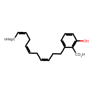 CCCCCCC/C=C\C/C=C\C/C=C\CCc1cccc(O)c1C(=O)O